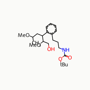 COC(C)CC(c1ccccc1CCCNC(=O)OC(C)(C)C)C(CO)OC